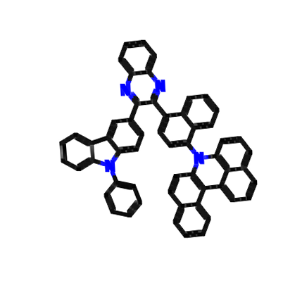 c1ccc(-n2c3ccccc3c3cc(-c4nc5ccccc5nc4-c4ccc(N5c6ccc7ccccc7c6-c6cccc7cccc5c67)c5ccccc45)ccc32)cc1